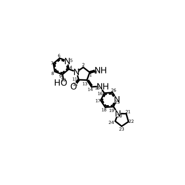 N=C1CN(c2ncccc2O)C(=O)/C1=C/Nc1ccc(N2CCCC2)nc1